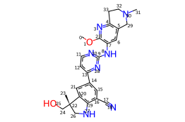 COc1nc2c(cc1Nc1nccc(-c3cc(C#N)c4c(c3)[C@@](C)(CO)CN4)n1)CN(C)CC2